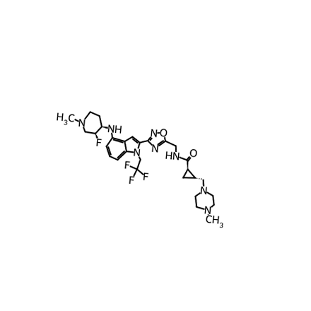 CN1CCN(C[C@@H]2C[C@H]2C(=O)NCc2nc(-c3cc4c(N[C@@H]5CCN(C)C[C@@H]5F)cccc4n3CC(F)(F)F)no2)CC1